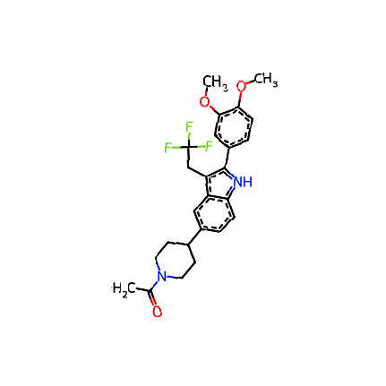 [CH2]C(=O)N1CCC(c2ccc3[nH]c(-c4ccc(OC)c(OC)c4)c(CC(F)(F)F)c3c2)CC1